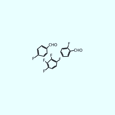 Fc1ccc(F)c(F)c1F.O=Cc1ccc(F)cc1.O=Cc1ccccc1F